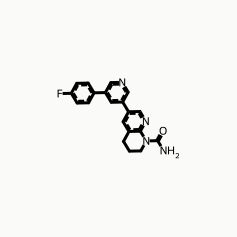 NC(=O)N1CCCc2cc(-c3cncc(-c4ccc(F)cc4)c3)cnc21